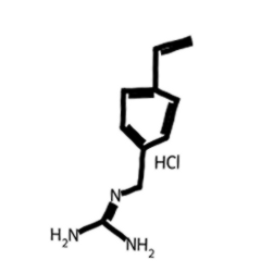 C=Cc1ccc(CN=C(N)N)cc1.Cl